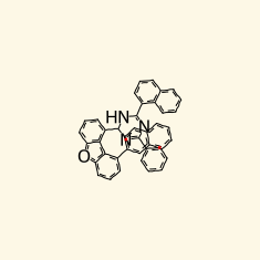 c1ccc(C2=NC(c3cccc4oc5cccc(-c6ccc7ccccc7c6)c5c34)NC(c3cccc4ccccc34)=N2)cc1